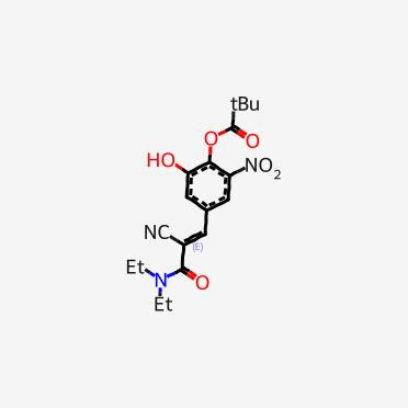 CCN(CC)C(=O)/C(C#N)=C/c1cc(O)c(OC(=O)C(C)(C)C)c([N+](=O)[O-])c1